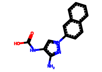 Nc1nn(-c2ccc3ccccc3c2)cc1NC(=O)O